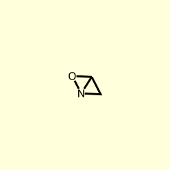 C1C2ON12